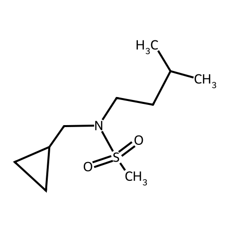 CC(C)CCN(CC1CC1)S(C)(=O)=O